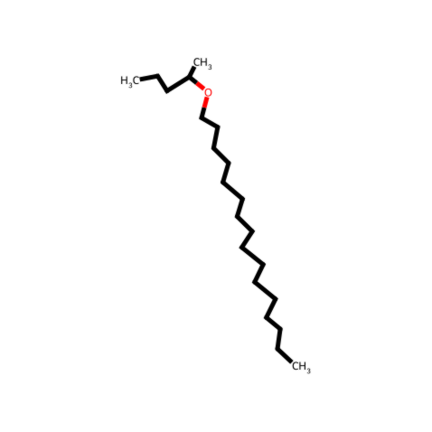 CCCCCCCCCCCCCCCCOC(C)CCC